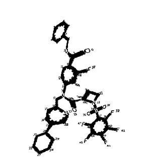 O=C(OCc1ccccc1)c1ccc(N(Cc2ccc(C3CCCCC3)cn2)C(=O)[C@H]2CCN2S(=O)(=O)c2c(F)c(F)c(F)c(F)c2F)cc1F